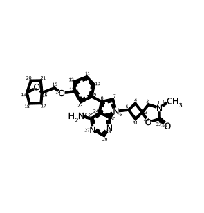 CN1CC2(CC(n3cc(-c4cccc(OCC56CCC(CC5)O6)c4)c4c(N)ncnc43)C2)OC1=O